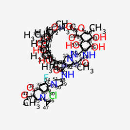 CO[C@H]1/C=C/O[C@@]2(C)Oc3c(C)c(O)c4c(O)c(c(/C=N/N5CCC(C(=O)NC6CCN(c7c(F)cc8c(=O)c(C(C)=O)cn(C9CC9)c8c7Cl)C6)CC5)c(O)c4c3C2=O)NC(=O)/C(C)=C\C=C\[C@H](C)[C@H](O)[C@@H](C)[C@@H](O)[C@@H](C)[C@H](OC(C)=O)[C@@H]1C